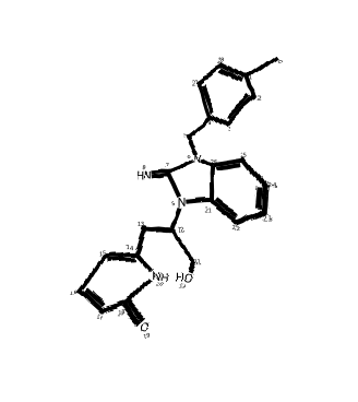 Cc1ccc(Cn2c(=N)n(C(CO)Cc3cccc(=O)[nH]3)c3ccccc32)cc1